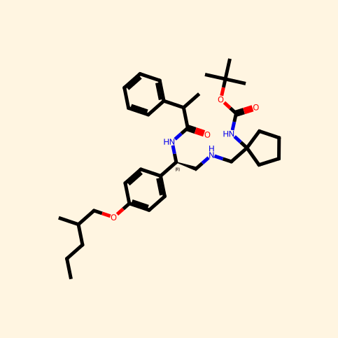 CCCC(C)COc1ccc([C@H](CNCC2(NC(=O)OC(C)(C)C)CCCC2)NC(=O)C(C)c2ccccc2)cc1